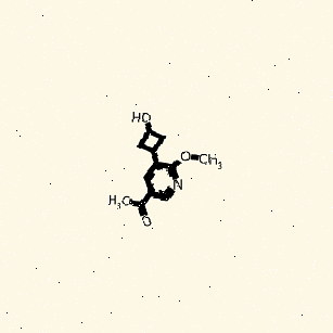 COc1ncc(C(C)=O)cc1C1CC(O)C1